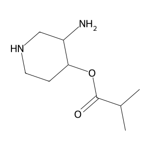 CC(C)C(=O)OC1CCNCC1N